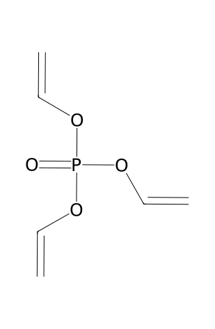 C=COP(=O)(OC=C)OC=C